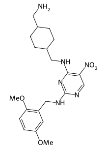 COc1ccc(OC)c(CNc2ncc([N+](=O)[O-])c(NCC3CCC(CN)CC3)n2)c1